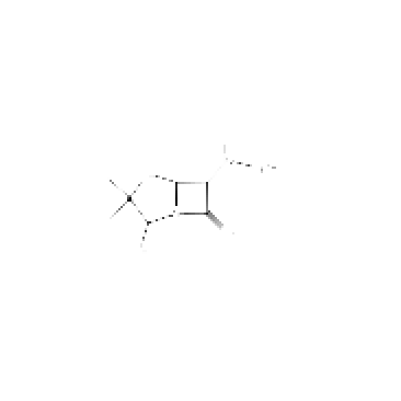 CCCCCNC1C(=O)N2C(O)C(C)(C)S[C@@H]12